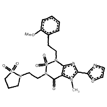 COc1ccccc1CCN1c2nc(-c3ncco3)n(C)c2C(=O)N(CCN2CCCS2(=O)=O)S1(=O)=O